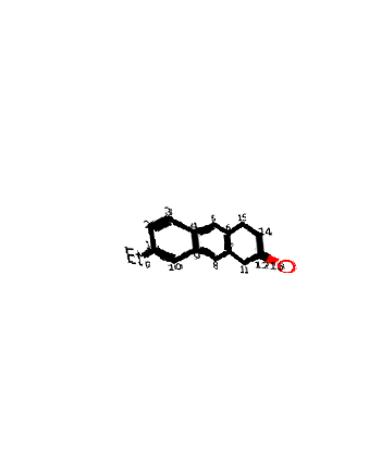 CCc1ccc2cc3c(cc2c1)CC(=O)CC3